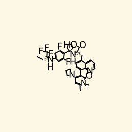 CC[C@@H](Nc1cc(F)c(C(=O)N[C@@H](Cc2ccc(-c3c(N4CCC4)cc(C)n(C)c3=O)c3ncccc23)C(=O)O)c(F)c1)C(F)(F)F